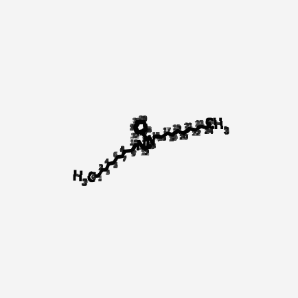 CCCCCCCCCCCn1cc[n+](CCCCCCCCCCC)c1-c1ccccc1